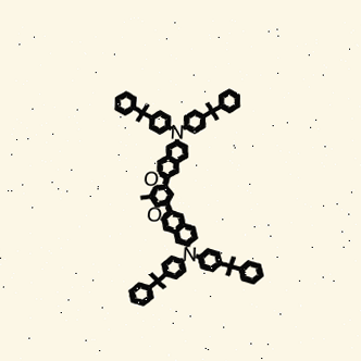 Cc1c2oc3cc4cc(N(c5ccc(C(C)(C)c6ccccc6)cc5)c5ccc(C(C)(C)c6ccccc6)cc5)ccc4cc3c2cc2c1oc1cc3cc(N(c4ccc(C(C)(C)c5ccccc5)cc4)c4ccc(C(C)(C)c5ccccc5)cc4)ccc3cc12